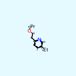 CCc1ccc(CCOC(C)C)nc1